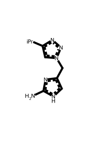 CC(C)c1cn(Cc2c[nH]c(N)n2)nn1